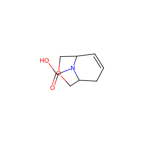 O=C(O)N1C2C=CCC1COC2